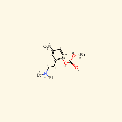 CCN(CC)CCc1cc([N+](=O)[O-])ccc1OC(=O)OC(C)(C)C